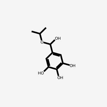 CC(C)OC(O)c1cc(O)c(O)c(O)c1